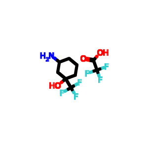 NC1CCCC(O)(C(F)(F)F)C1.O=C(O)C(F)(F)F